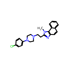 Cn1c(CCN2CCN(c3ccc(Cl)cc3)CC2)nc2ccc3ccccc3c21